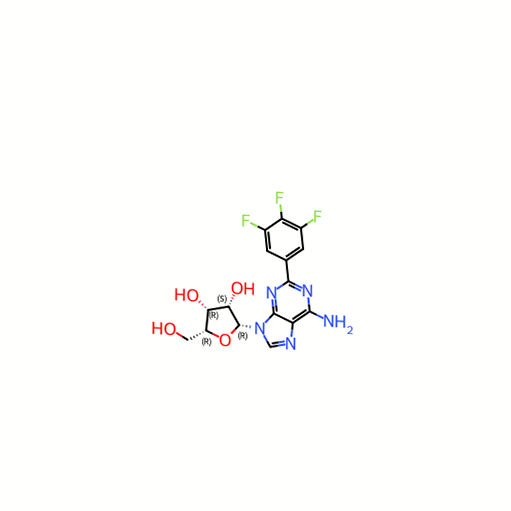 Nc1nc(-c2cc(F)c(F)c(F)c2)nc2c1ncn2[C@@H]1O[C@H](CO)[C@H](O)[C@@H]1O